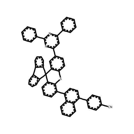 N#Cc1ccc(-c2ccc(-c3cccc4c3Sc3ccc(-c5cc(-c6ccccc6)nc(-c6ccccc6)n5)cc3C43c4ccccc4-c4ccccc43)c3ccccc23)cc1